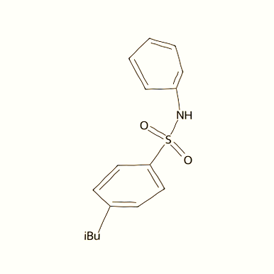 CCC(C)c1ccc(S(=O)(=O)Nc2ccccc2)cc1